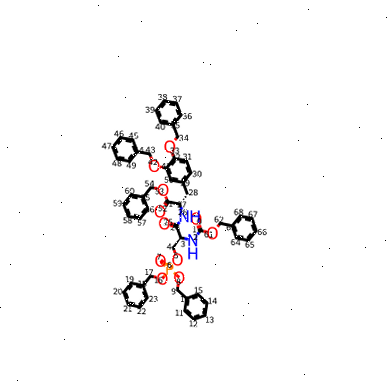 O=C(N[C@@H](COP(=O)(OCc1ccccc1)OCc1ccccc1)C(=O)N[C@@H](Cc1ccc(OCc2ccccc2)c(OCc2ccccc2)c1)C(=O)OCc1ccccc1)OCc1ccccc1